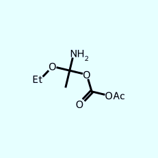 CCOC(C)(N)OC(=O)OC(C)=O